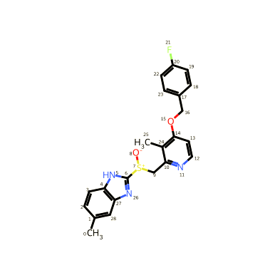 Cc1ccc2[nH]c([S+]([O-])Cc3nccc(OCc4ccc(F)cc4)c3C)nc2c1